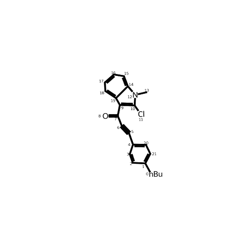 CCCCc1ccc(C#CC(=O)c2c(Cl)n(C)c3ccccc23)cc1